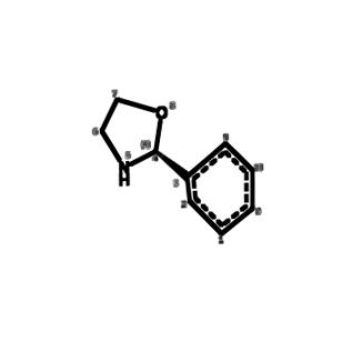 c1ccc([C@H]2NCCO2)cc1